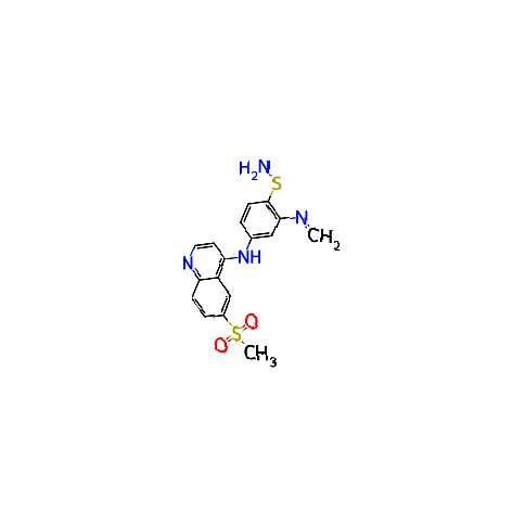 C=Nc1cc(Nc2ccnc3ccc(S(C)(=O)=O)cc23)ccc1SN